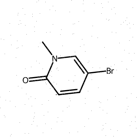 Cn1cc(Br)c[c]c1=O